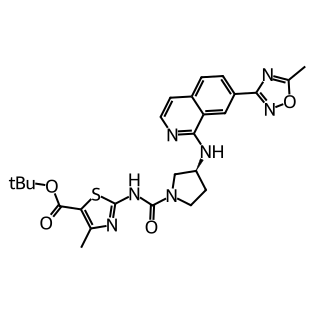 Cc1nc(-c2ccc3ccnc(N[C@H]4CCN(C(=O)Nc5nc(C)c(C(=O)OC(C)(C)C)s5)C4)c3c2)no1